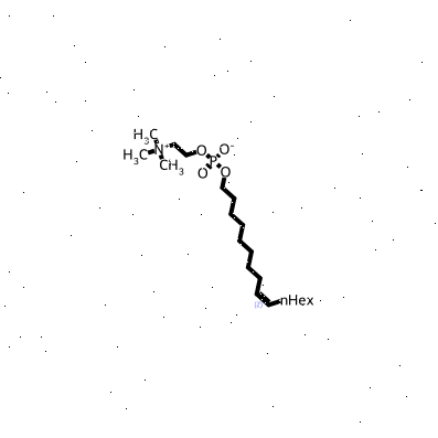 CCCCCC/C=C\CCCCCCCCOP(=O)([O-])OCC[N+](C)(C)C